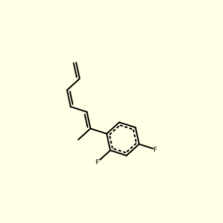 C=C/C=C\C=C(/C)c1ccc(F)cc1F